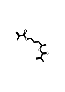 C=C(C)C(=O)OCCCC(C)OC(=O)C(=C)C